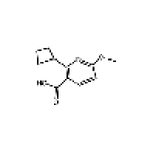 COc1ccc(C(=O)O)c(C2CCC2)n1